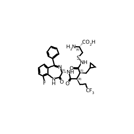 N[C@@H](CSNC(=O)[C@@H](CC1CC1)[C@@H](CCC(F)(F)F)C(=O)N[C@H]1N=C(c2ccccc2)c2cccc(F)c2NC1=O)C(=O)O